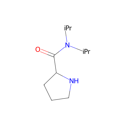 CC(C)N(C(=O)C1CCCN1)C(C)C